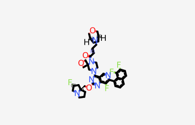 O=C(/C=C/CN1[C@@H]2CC[C@H]1COC2)N1CCN(c2nc(OC[C@@]34CCCN3C[C@H](F)C4)nc3c(F)c(-c4cccc5ccc(F)c(F)c45)ncc23)CC12COC2